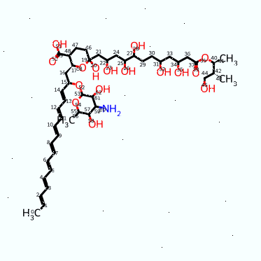 C/C=C/C=C/C=C/C=C/C=C/C=C/C=C/C(C[C@@H]1OC(O)(CC(O)CC(O)C(O)CCC(O)CC(O)CC(=O)O[C@@H](C)[C@H](C)CO)CCC1C(=O)O)OC1OC(C)C(O)C(N)C1O